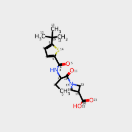 CCC(NC(=O)c1ccc(C(C)(C)C)s1)C(=O)N1CC(C(=O)O)C1